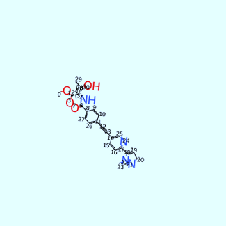 COC(=O)[C@@H](NC(=O)c1ccc(C#Cc2ccc(-c3ccnn3C)nc2)cc1)[C@@H](C)O